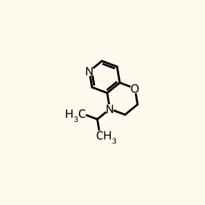 CC(C)N1CCOc2ccncc21